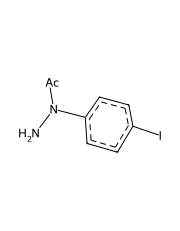 CC(=O)N(N)c1ccc(I)cc1